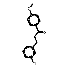 COc1ccc(C(=O)CCc2cccc(Cl)c2)cc1